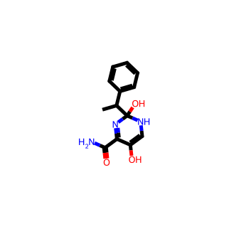 CC(c1ccccc1)C1(O)N=C(C(N)=O)C(O)=CN1